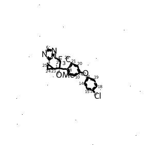 CO[C@](Cn1cncn1)(c1ccc(Oc2ccc(Cl)cc2)cc1C(F)(F)F)C1CC1